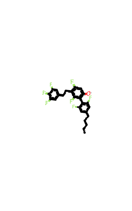 CCCCCc1cc(F)c(-c2c([O])cc(F)c(CCc3cc(F)c(F)c(F)c3)c2F)c(F)c1